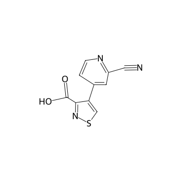 N#Cc1cc(-c2csnc2C(=O)O)ccn1